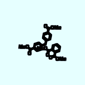 COC(=O)c1ccc(Cc2ccc(C(=O)OC)cc2)cc1.COC(=O)c1ccccc1C(=O)OC